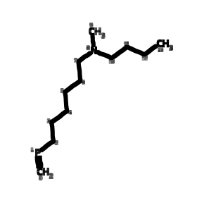 C=PCCCCCCN(C)CCCC